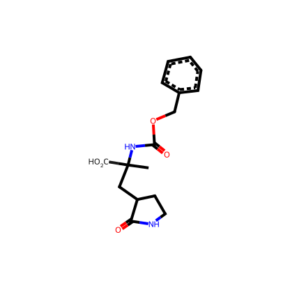 CC(CC1CCNC1=O)(NC(=O)OCc1ccccc1)C(=O)O